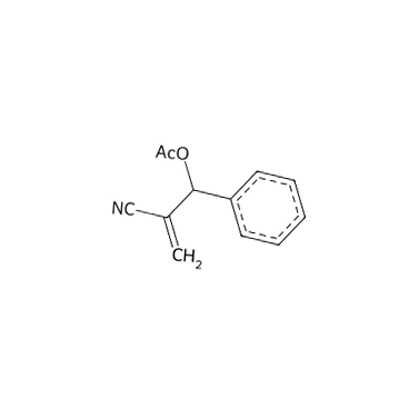 C=C(C#N)C(OC(C)=O)c1ccccc1